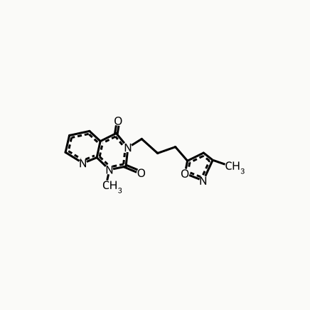 Cc1cc(CCCn2c(=O)c3cccnc3n(C)c2=O)on1